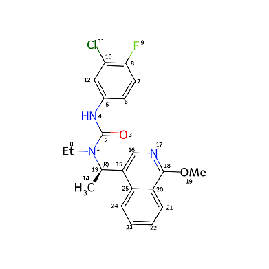 CCN(C(=O)Nc1ccc(F)c(Cl)c1)[C@H](C)c1cnc(OC)c2ccccc12